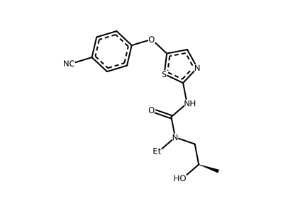 CCN(C[C@@H](C)O)C(=O)Nc1ncc(Oc2ccc(C#N)cc2)s1